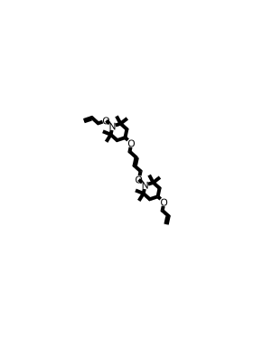 C=CCOC1CC(C)(C)N(OC/C=C/COC2CC(C)(C)N(OCC=C)C(C)(C)C2)C(C)(C)C1